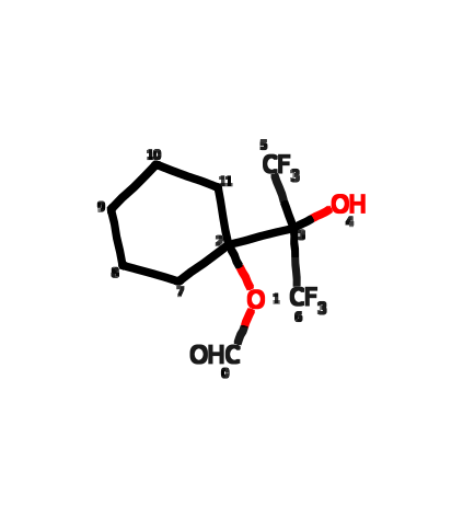 O=COC1(C(O)(C(F)(F)F)C(F)(F)F)CCCCC1